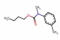 [CH2]CCCOC(=O)N(C)c1cccc(C)c1